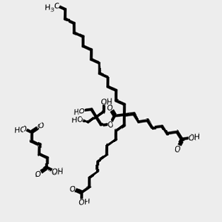 CCCCCCCCCCCCCCCCC(CCCCCCCCCC(=O)O)(CCCCCCCC(=O)O)C(=O)OCC(CO)(CO)CO.O=C(O)CCCCC(=O)O